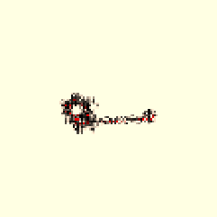 CC[C@H](C)[C@@H]1CCNC(=O)CNC(=O)[C@@H]2CNC(=O)[C@H]([C@@H](C)[C@@H](O)CO)NC(=O)C3C[C@@H](O)CN3C(=O)[C@H](CC(N)=O)NC(=O)[C@@H](C[S+]([O-])C3Nc4c(ccc(OC)c4CSCCCCNC(=O)CCOCCOCCOCCOCCOCCOCCOCCC(=O)Oc4c(F)c(F)c(F)c(F)c4F)C32)NC(=O)CNC1=O